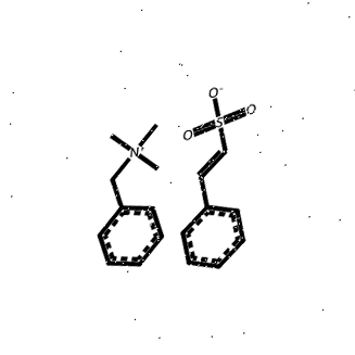 C[N+](C)(C)Cc1ccccc1.O=S(=O)([O-])C=Cc1ccccc1